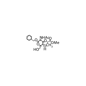 COC(=O)C(C)O[C@H]1[C@H](O)[C@@H](CO)O[C@H](OCc2ccccc2)[C@@H]1NC(C)=O